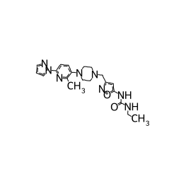 CCNC(=O)Nc1cc(CN2CCN(c3ccc(-n4cccn4)nc3C)CC2)no1